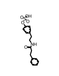 O=C(CCc1ccccc1)NCCc1ccc(OS(=O)(=O)O)cc1